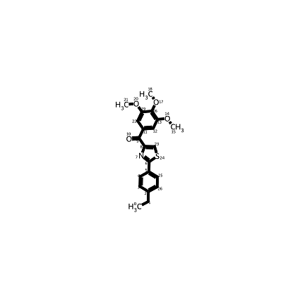 CCc1ccc(-c2nc(C(=O)c3cc(OC)c(OC)c(OC)c3)cs2)cc1